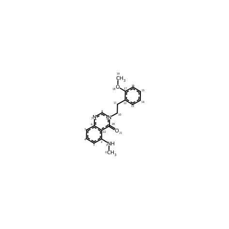 CNc1cccc2ncn(CCc3ccccc3OC)c(=O)c12